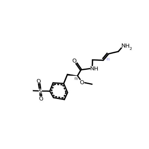 CO[C@@H](Cc1cccc(S(C)(=O)=O)c1)C(=O)NC/C=C/CN